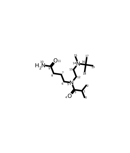 CC(C)C(=O)N(CCCC(N)=O)CCN(C)C(C)(C)C